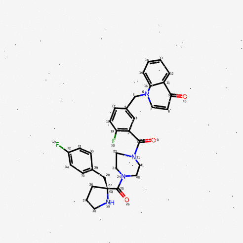 O=C(c1cc(Cn2ccc(=O)c3ccccc32)ccc1F)N1CCN(C(=O)[C@@]2(Cc3ccc(F)cc3)CCCN2)CC1